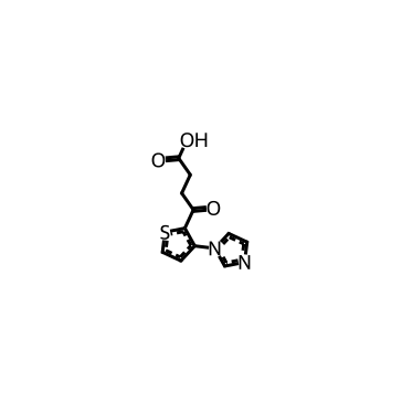 O=C(O)CCC(=O)c1sccc1-n1ccnc1